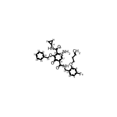 C=CCCOc1cc(F)ccc1CNC(=O)c1cn(N)c(C(=O)NC2CC2)c(OCc2ccccc2)c1=O